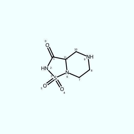 O=C1NS(=O)(=O)N2CCNC[C]12